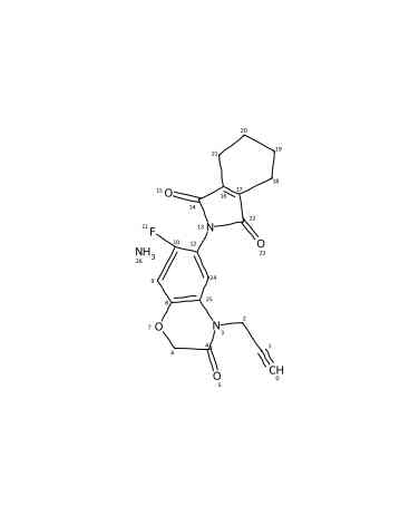 C#CCN1C(=O)COc2cc(F)c(N3C(=O)C4=C(CCCC4)C3=O)cc21.N